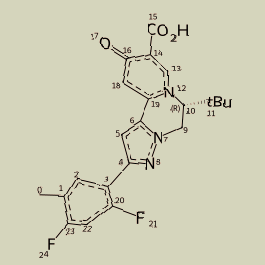 Cc1cc(-c2cc3n(n2)C[C@@H](C(C)(C)C)n2cc(C(=O)O)c(=O)cc2-3)c(F)cc1F